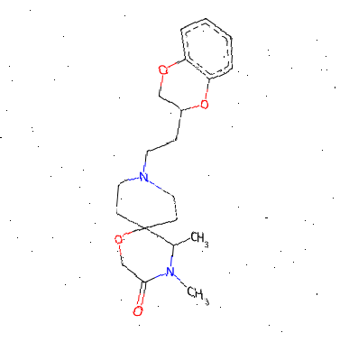 CC1N(C)C(=O)COC12CCN(CCC1COc3ccccc3O1)CC2